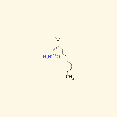 CC/C=C\CCCC/C(=C\C(N)=O)C1CC1